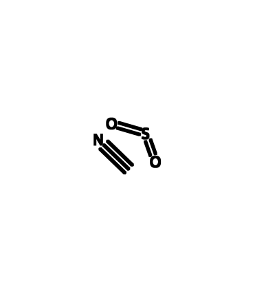 C#N.O=S=O